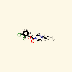 C=CCN1CCN(C(=O)COc2cccc(Cl)c2Cl)CC1